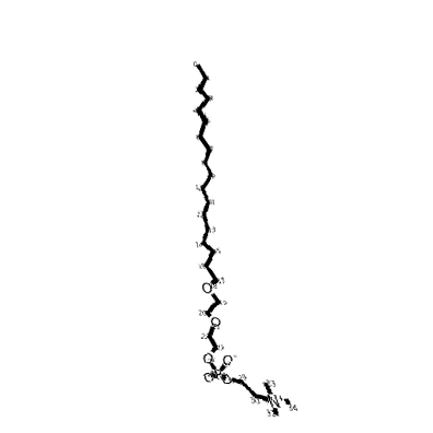 CCCCCCCCCCCCCCCCCCOCCOCCOP(=O)([O-])OCC[N+](C)(C)C